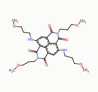 COCCCNc1cc2c3c(c(NCCCOC)cc4c3c1C(=O)N(CCCOC)C4=O)C(=O)N(CCCOC)C2=O